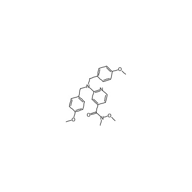 COc1ccc(CN(Cc2ccc(OC)cc2)c2cc(C(=O)N(C)OC)ccn2)cc1